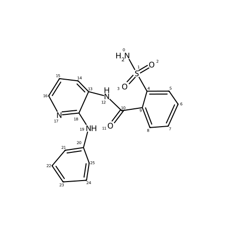 NS(=O)(=O)c1ccccc1C(=O)Nc1cccnc1Nc1ccccc1